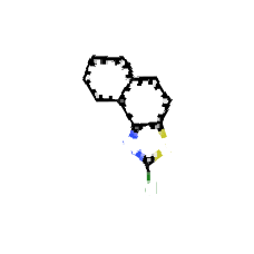 Clc1nc2c(ccc3ccccc32)s1